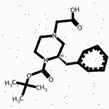 CC(C)(C)OC(=O)N1CCN(CC(=O)O)C[C@H]1Cc1ccccc1